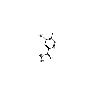 Cc1nnc(C(=O)NC(C)C)cc1O